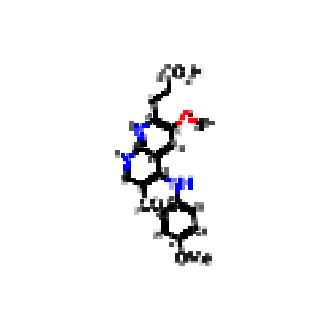 CCOC(=O)c1cnc2nc(CCC(=O)O)c(OCC)cc2c1Nc1ccc(OC)cc1